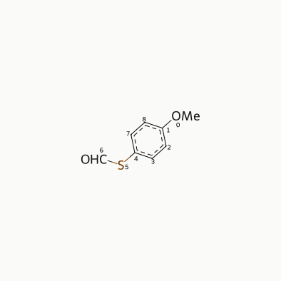 COc1ccc(SC=O)cc1